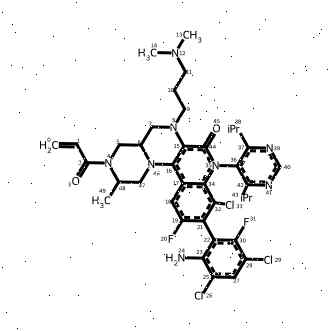 C=CC(=O)N1CC2CN(CCCN(C)C)c3c(c4cc(F)c(-c5c(N)c(Cl)cc(Cl)c5F)c(Cl)c4n(-c4c(C(C)C)ncnc4C(C)C)c3=O)N2CC1C